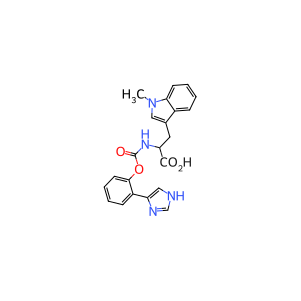 Cn1cc(CC(NC(=O)Oc2ccccc2-c2c[nH]cn2)C(=O)O)c2ccccc21